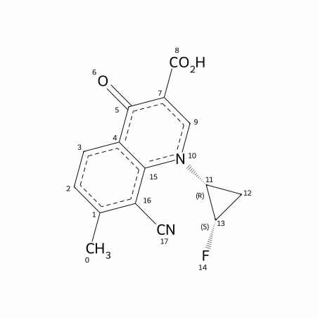 Cc1ccc2c(=O)c(C(=O)O)cn([C@@H]3C[C@@H]3F)c2c1C#N